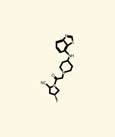 N#CC1C[C@H](F)CN1C(=O)CN1CCC(Nc2cccc3ncsc23)CC1